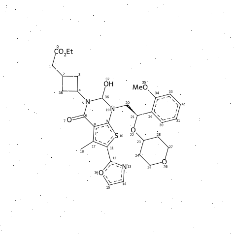 CCOC(=O)CC1CC(N2C(=O)c3c(sc(-c4ncco4)c3C)N(C[C@H](OC3CCOCC3)c3ccccc3OC)C2O)C1